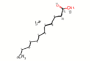 CCCCCCCCCCCC(=O)O.[La]